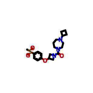 CS(=O)(=O)c1ccc(OC2CN(C(=O)N3CCCN(C4CCC4)CC3)C2)cc1